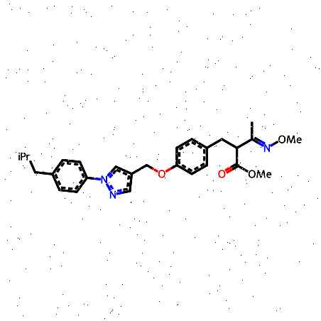 CO/N=C(\C)C(Cc1ccc(OCc2cnn(-c3ccc(CC(C)C)cc3)c2)cc1)C(=O)OC